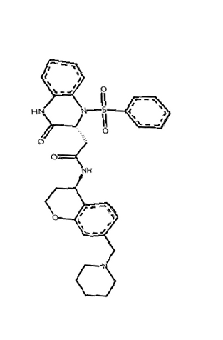 O=C(C[C@@H]1C(=O)Nc2ccccc2N1S(=O)(=O)c1ccccc1)N[C@@H]1CCOc2cc(CN3CCCCC3)ccc21